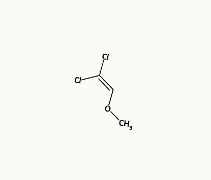 COC=C(Cl)Cl